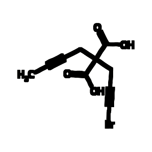 CC#CCC(CC#CBr)(C(=O)O)C(=O)O